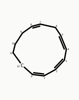 [C]1=CC=CC=CCC=CCCCC1